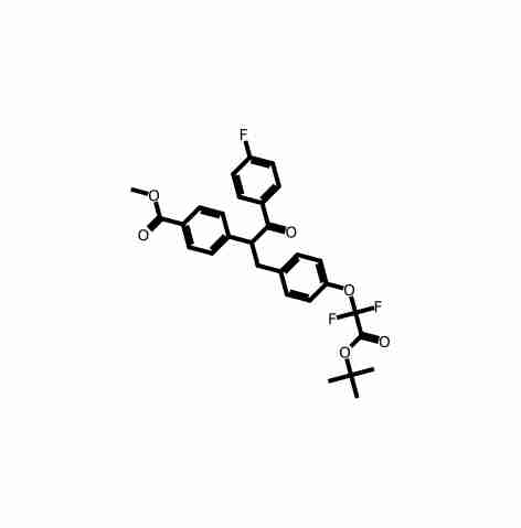 COC(=O)c1ccc(C(Cc2ccc(OC(F)(F)C(=O)OC(C)(C)C)cc2)C(=O)c2ccc(F)cc2)cc1